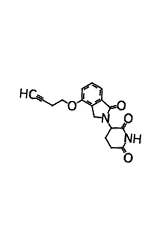 C#CCCOc1cccc2c1CN(C1CCC(=O)NC1=O)C2=O